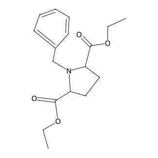 CCOC(=O)C1CCC(C(=O)OCC)N1Cc1ccccc1